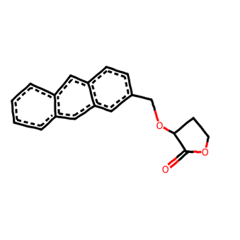 O=C1OCCC1OCc1ccc2cc3ccccc3cc2c1